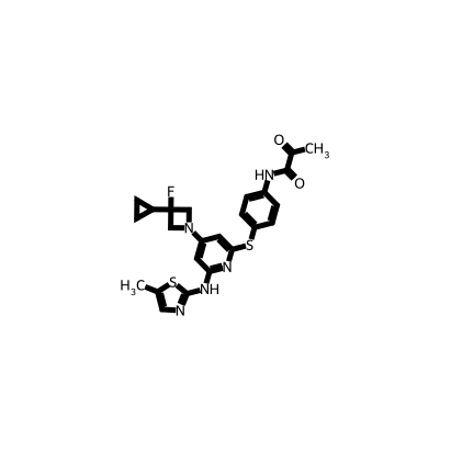 CC(=O)C(=O)Nc1ccc(Sc2cc(N3CC(F)(C4CC4)C3)cc(Nc3ncc(C)s3)n2)cc1